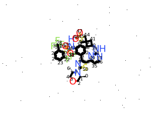 C[C@H]1COC[C@H](C)N1c1nc(-c2cccc(NS(=O)(=O)c3c(F)cccc3C(F)(F)F)c2F)c(-c2ccnc(NC3CC4(C3)CS(=O)(=O)C4)n2)s1